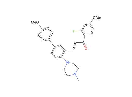 COc1ccc(-c2ccc(N3CCN(C)CC3)c(C=CC(=O)c3ccc(OC)cc3F)c2)cc1